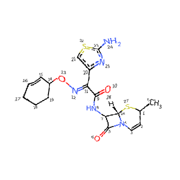 CC1C=CN2C(=O)C(NC(=O)C(=NOC3C=CCCC3)c3csc(N)n3)[C@@H]2S1